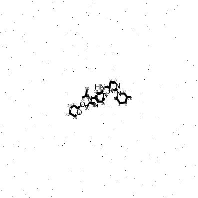 CC1CCCN(c2nccc(Nc3cc4c(cn3)nc(COC3CCCCO3)n4C(C)C)n2)C1